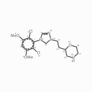 COc1cc(OC)c(Cl)c(N2C=NN(CCC3CNCCO3)C2)c1Cl